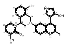 Cc1cc(-c2n[nH]cc2O)c2cc(OCc3c(Cl)ccnc3C(C)n3cccc(C#N)c3=O)ccc2n1